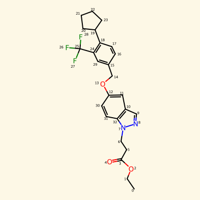 CCOC(=O)CCn1ncc2cc(OCc3ccc(C4CCCC4)c(C(F)(F)F)c3)ccc21